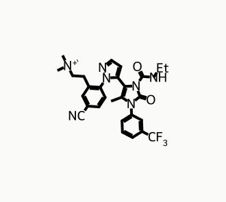 CCNC(=O)n1c(-c2ccnn2-c2ccc(C#N)cc2CC[N+](C)(C)C)c(C)n(-c2cccc(C(F)(F)F)c2)c1=O